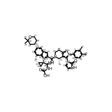 Cc1cc(-n2nc3c(c2-n2cc[nH]c2=O)[C@H](C)N(C(=O)c2cc4cc([C@H]5CCOC(C)(C)C5)ccc4n2[C@@]2(C(=N)NC(=O)O)C[C@@H]2C)CC3)ccc1F